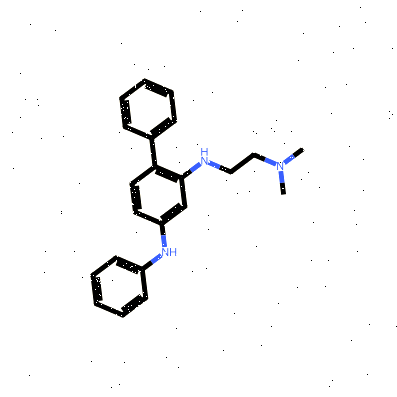 CN(C)CCNc1cc(Nc2ccccc2)ccc1-c1ccccc1